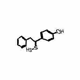 Oc1ccc(C(Cc2ccccc2)SS)cc1